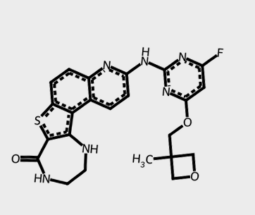 CC1(COc2cc(F)nc(Nc3ccc4c(ccc5sc6c(c54)NCCNC6=O)n3)n2)COC1